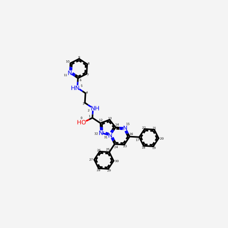 OC(NCCNc1ccccn1)c1cc2nc(-c3ccccc3)cc(-c3ccccc3)n2n1